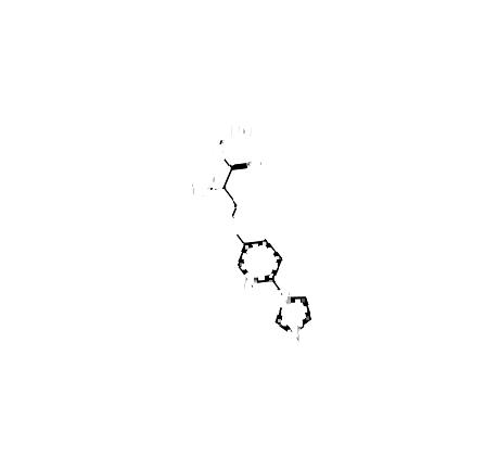 CC(C)(C)OC(=O)[C@H](O)COc1ccc(-n2ccnc2)nc1